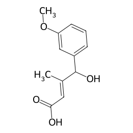 COc1cccc(C(O)/C(C)=C/C(=O)O)c1